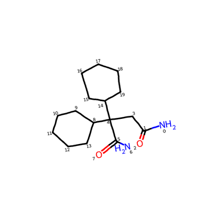 NC(=O)CC(C(N)=O)(C1CCCCC1)C1CCCCC1